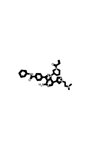 C=CC(=O)N1CCCC(n2nc(-c3ccc(C(=O)Nc4ccccc4)cc3)c3c(N)ncc(-c4cnn(CCN(C)C)c4)c32)C1